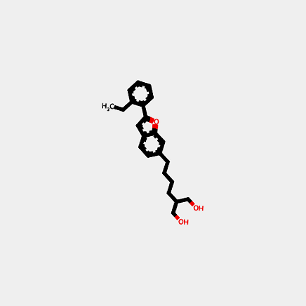 CCc1ccccc1-c1cc2ccc(CCCCC(CO)CO)cc2o1